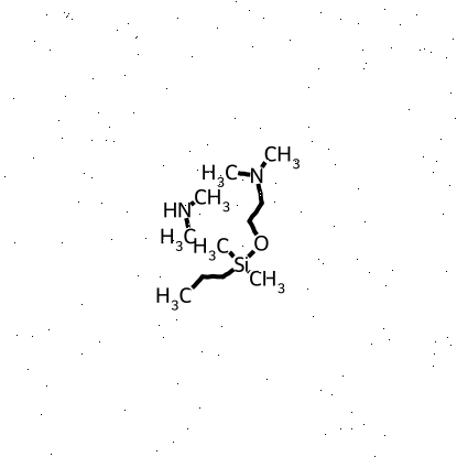 CCC[Si](C)(C)OCCN(C)C.CNC